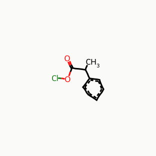 CC(C(=O)OCl)c1ccccc1